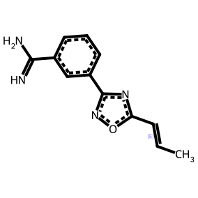 C/C=C/c1nc(-c2cccc(C(=N)N)c2)no1